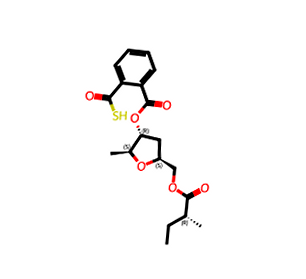 CC[C@@H](C)C(=O)OC[C@@H]1C[C@@H](OC(=O)c2ccccc2C(=O)S)[C@H](C)O1